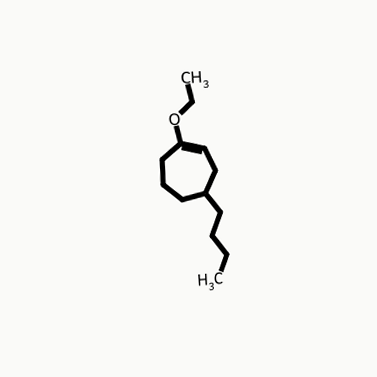 CCCCC1CC=C(OCC)CCC1